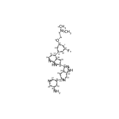 CN(C)CCOc1cc(F)cc(-c2ccnc3[nH]c(-c4n[nH]c5cnc(-c6cncc(N)c6)cc45)cc23)c1